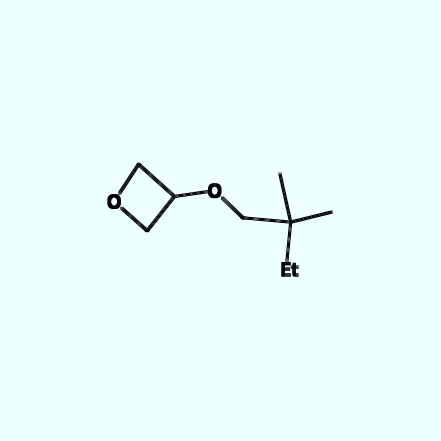 CCC(C)(C)COC1COC1